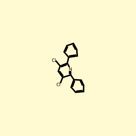 Clc1cc(Cl)c(-c2ccccc2)nc1-c1ccccc1